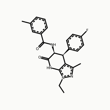 CCn1nc(C)c2c1NC(=O)[C@@H](NC(=O)c1cccc(C)c1)[C@H]2c1ccc(F)cc1